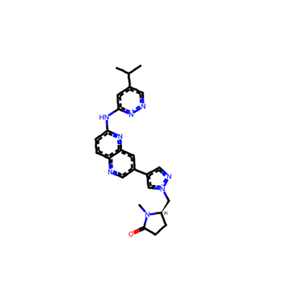 CC(C)c1cnnc(Nc2ccc3ncc(-c4cnn(C[C@H]5CCC(=O)N5C)c4)cc3n2)c1